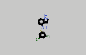 Clc1cc(Cl)cc(SNc2cccc3[nH]ccc23)c1